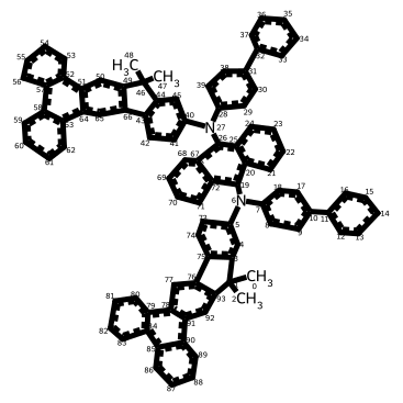 CC1(C)c2cc(N(c3ccc(-c4ccccc4)cc3)c3c4ccccc4c(N(c4ccc(-c5ccccc5)cc4)c4ccc5c(c4)C(C)(C)c4cc6c7ccccc7c7ccccc7c6cc4-5)c4ccccc34)ccc2-c2cc3c4ccccc4c4ccccc4c3cc21